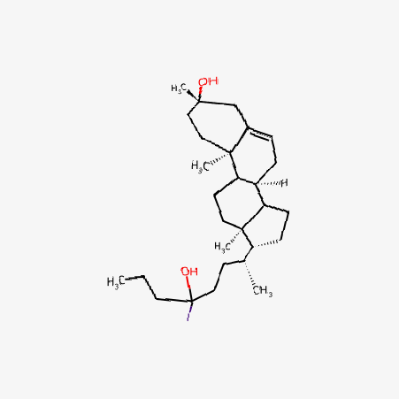 CCCC(O)(I)CC[C@@H](C)[C@H]1CCC2[C@@H]3CC=C4C[C@@](C)(O)CC[C@]4(C)C3CC[C@@]21C